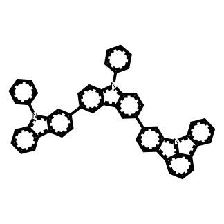 c1ccc(-n2c3ccc(-c4ccc5c6ccccc6n(-c6ccccc6)c5c4)cc3c3cc(-c4ccc5c6cccc7c8ccccc8n(c5c4)c76)ccc32)cc1